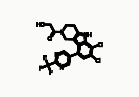 O=C(CO)N1CCc2[nH]c3c(Cl)c(Cl)cc(-c4cnc(C(F)(F)F)nc4)c3c2C1